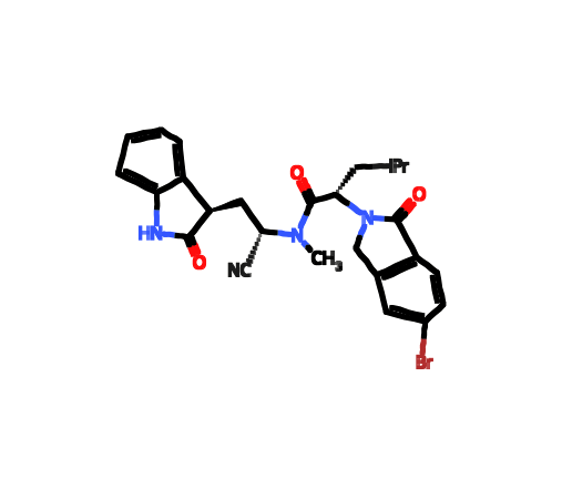 CC(C)C[C@@H](C(=O)N(C)[C@H](C#N)C[C@H]1C(=O)Nc2ccccc21)N1Cc2cc(Br)ccc2C1=O